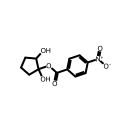 O=C(OC1(O)CCCC1O)c1ccc([N+](=O)[O-])cc1